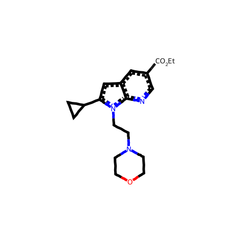 CCOC(=O)c1cnc2c(c1)cc(C1CC1)n2CCN1CCOCC1